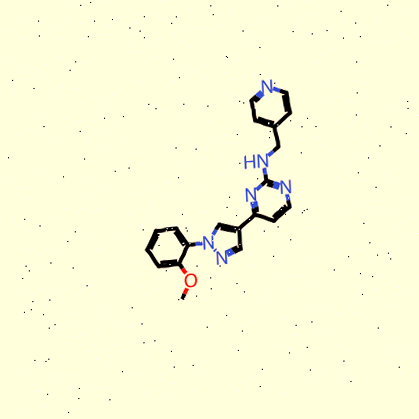 COc1ccccc1-n1cc(-c2ccnc(NCc3ccncc3)n2)cn1